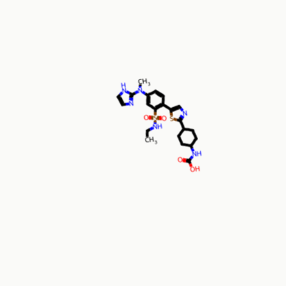 CCNS(=O)(=O)c1cc(N(C)c2ncc[nH]2)ccc1-c1cnc(C2CCC(NC(=O)O)CC2)s1